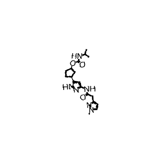 CC(C)NC(=O)O[C@@H]1CC[C@H](c2cc(NC(=O)Cc3ccn(C)n3)n[nH]2)C1